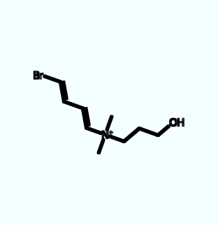 C[N+](C)(/C=C/C=C/Br)CCCO